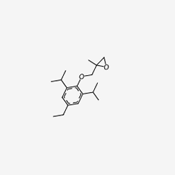 CCc1cc(C(C)C)c(OCC2(C)CO2)c(C(C)C)c1